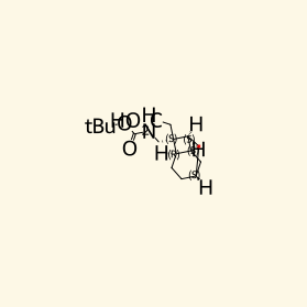 CC(C)(C)OC(=O)NC[C@@]1(CC(=O)O)[C@@H]2CC[C@H]3C[C@@H]2[C@@H]1C3